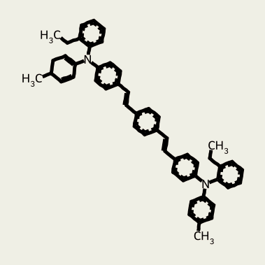 CCc1ccccc1N(C1=CCC(C)C=C1)c1ccc(C=Cc2ccc(C=Cc3ccc(N(c4ccc(C)cc4)c4ccccc4CC)cc3)cc2)cc1